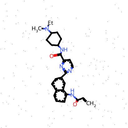 C=CC(=O)Nc1cccc2ccc(-c3nccc(C(=O)NC4CCC(N(C)CC)CC4)n3)cc12